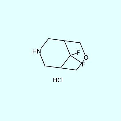 Cl.FC1(F)C2CNCC1COC2